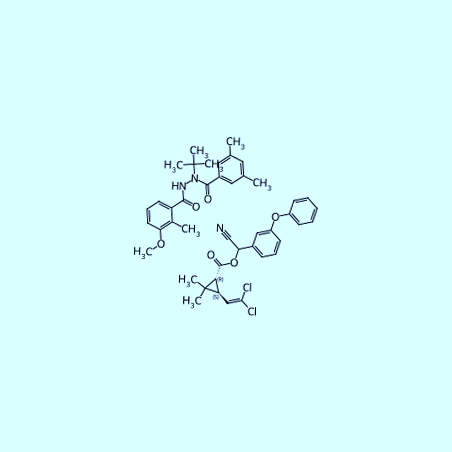 CC1(C)[C@H](C=C(Cl)Cl)[C@H]1C(=O)OC(C#N)c1cccc(Oc2ccccc2)c1.COc1cccc(C(=O)NN(C(=O)c2cc(C)cc(C)c2)C(C)(C)C)c1C